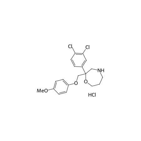 COc1ccc(OCC2(c3ccc(Cl)c(Cl)c3)CNCCCO2)cc1.Cl